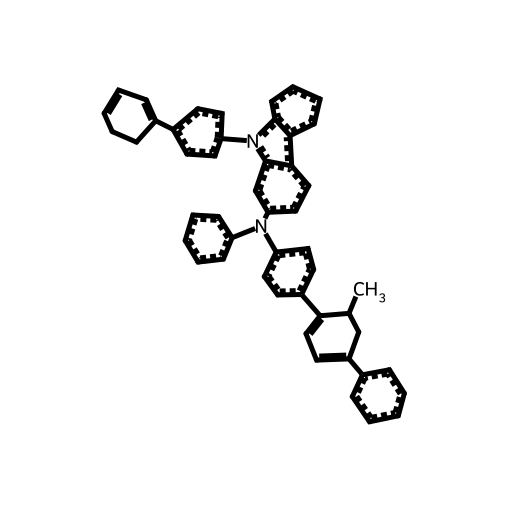 CC1CC(c2ccccc2)=CC=C1c1ccc(N(c2ccccc2)c2ccc3c4ccccc4n(-c4ccc(C5=CC=CCC5)cc4)c3c2)cc1